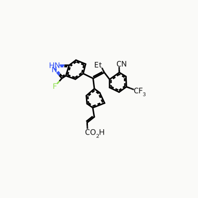 CC/C(=C(/c1ccc(/C=C/C(=O)O)cc1)c1ccc2[nH]nc(F)c2c1)c1ccc(C(F)(F)F)cc1C#N